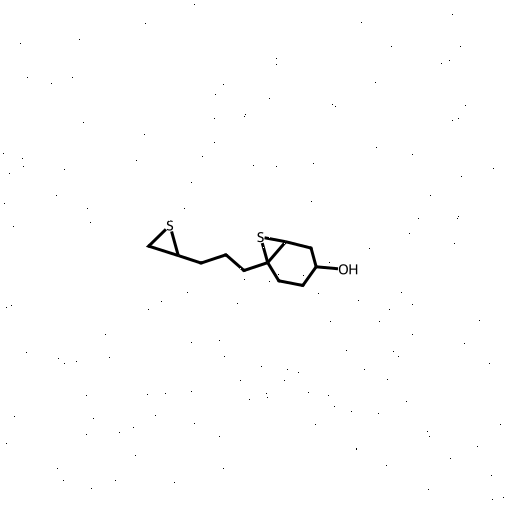 OC1CCC2(CCCC3CS3)SC2C1